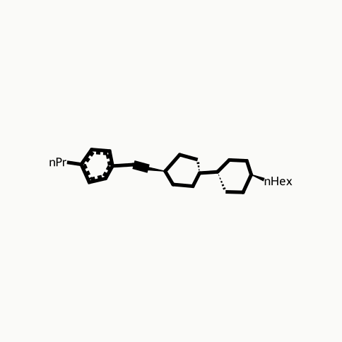 CCCCCC[C@H]1CC[C@H]([C@H]2CC[C@H](C#Cc3ccc(CCC)cc3)CC2)CC1